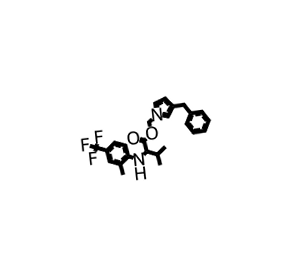 Cc1cc(C(F)(F)F)ccc1NC(C(=O)OCn1ccc(Cc2ccccc2)c1)C(C)C